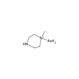 C[N+]1([AsH2])CCNCC1